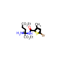 CCOC(=O)CC[C@@](N)(NC(=O)c1sc(Br)cc1C)C(=O)OCC